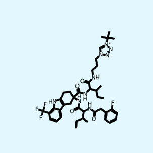 CCC(C)C(NC(=O)Cc1ccccc1F)C(=O)NC1(C(=O)NC(C(=O)NCCCn2c[n+](C(C)(C)C)nn2)C(C)CC)CCc2[nH]c3c(C(F)(F)F)cccc3c2C1